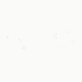 CN(C)CC#CCNC(C)(C)C